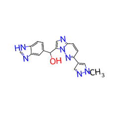 Cn1cc(-c2ccc3ncc(C(O)c4ccc5[nH]cnc5c4)n3n2)cn1